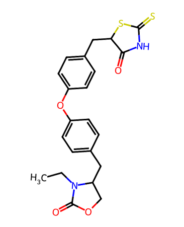 CCN1C(=O)OCC1Cc1ccc(Oc2ccc(CC3SC(=S)NC3=O)cc2)cc1